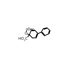 CCCCCCCCCCOC1(C(=O)O)C=CC(c2ccccc2)=CC1